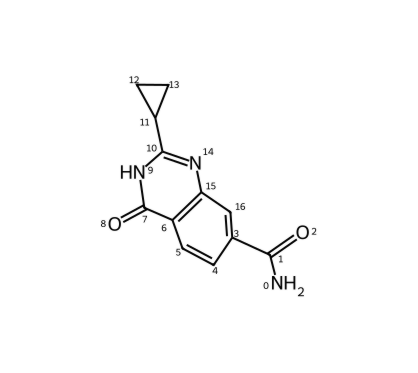 NC(=O)c1ccc2c(=O)[nH]c(C3CC3)nc2c1